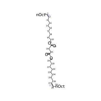 CCCCCCCC/C=C\CCCCCCCCOC(=O)CCC(=O)OCCCCCCCC/C=C\CCCCCCCC